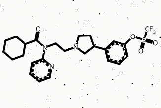 O=C(C1CCCCC1)N(CCN1CCC(c2cccc(OS(=O)(=O)C(F)(F)F)c2)C1)c1ccccn1